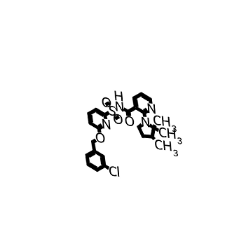 CC1CCN(c2ncccc2C(=O)NS(=O)(=O)c2cccc(OCc3cccc(Cl)c3)n2)C1(C)C